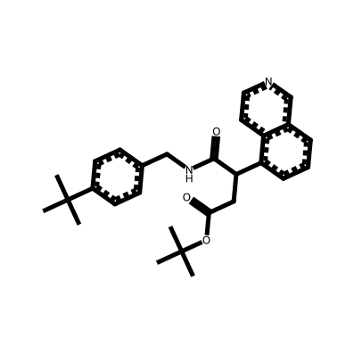 CC(C)(C)OC(=O)CC(C(=O)NCc1ccc(C(C)(C)C)cc1)c1cccc2cnccc12